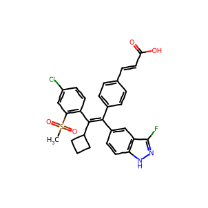 CS(=O)(=O)c1cc(Cl)ccc1/C(=C(\c1ccc(/C=C/C(=O)O)cc1)c1ccc2[nH]nc(F)c2c1)C1CCC1